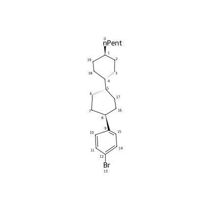 CCCCC[C@H]1CC[C@H]([C@H]2CC[C@H](c3ccc(Br)cc3)CC2)CC1